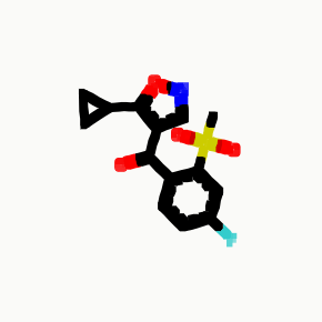 CS(=O)(=O)c1cc(F)ccc1C(=O)c1cnoc1C1CC1